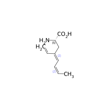 C=C/C(=C\C=C/C)C[C@H](N)C(=O)O